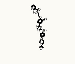 N#Cc1cc(-c2ncnc(Nc3ccc(N4CCN(C5COC5)CC4)cc3)n2)ccc1OCCNC(=O)c1cccnc1